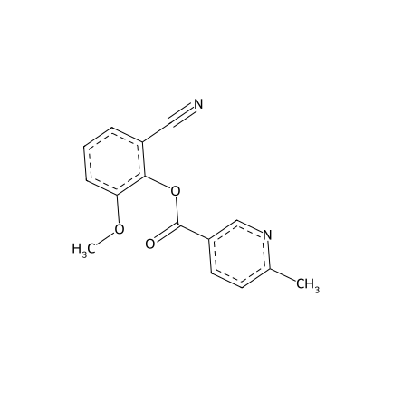 COc1cccc(C#N)c1OC(=O)c1ccc(C)nc1